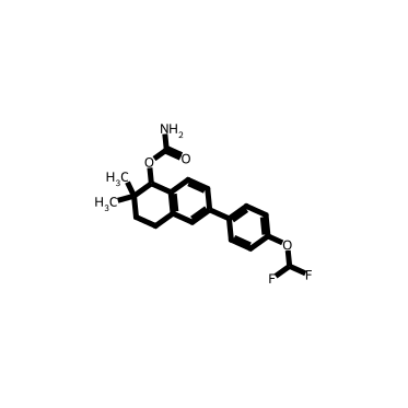 CC1(C)CCc2cc(-c3ccc(OC(F)F)cc3)ccc2C1OC(N)=O